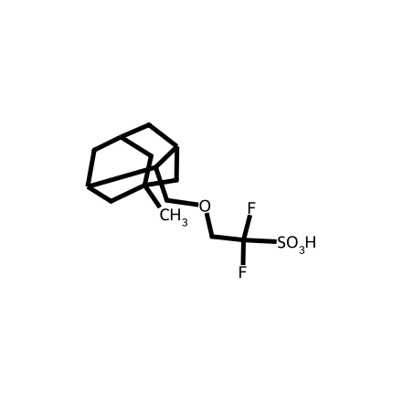 CC12CC3CC(C1)C(COCC(F)(F)S(=O)(=O)O)C(C3)C2